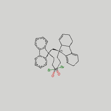 O=C(Br)CCC1(C[C@]2(CCC(=O)Br)C3=CCCC=C3C3CCC=CC32)c2ccccc2-c2ccccc21